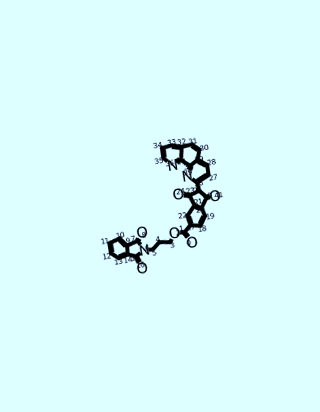 O=C(OCCCN1C(=O)c2ccccc2C1=O)c1ccc2c(c1)C(=O)C(c1ccc3ccc4cccnc4c3n1)C2=O